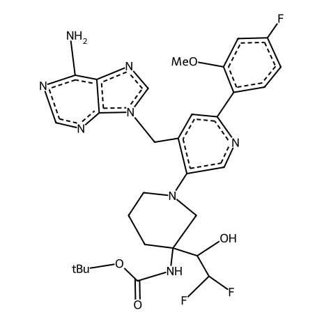 COc1cc(F)ccc1-c1cc(Cn2cnc3c(N)ncnc32)c(N2CCCC(NC(=O)OC(C)(C)C)(C(O)C(F)F)C2)cn1